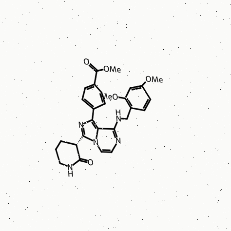 COC(=O)c1ccc(-c2nc([C@H]3CCCNC3=O)n3ccnc(NCc4ccc(OC)cc4OC)c23)cc1